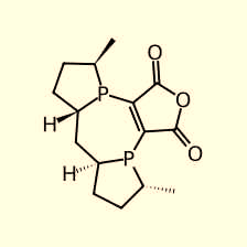 C[C@@H]1CC[C@H]2C[C@@H]3CC[C@@H](C)P3C3=C(C(=O)OC3=O)P21